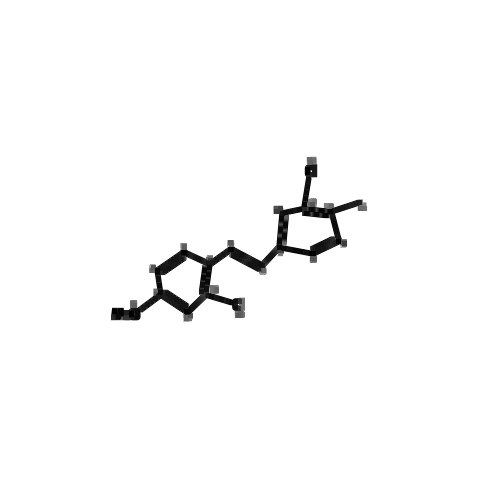 COc1ccc(/C=C/c2ccc(C)c(Cl)c2)c(Cl)c1